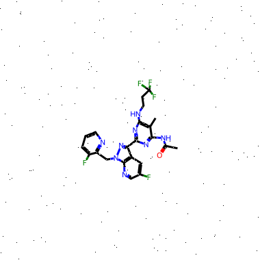 CC(=O)Nc1nc(-c2nn(Cc3ncccc3F)c3ncc(F)cc23)nc(NCCC(F)(F)F)c1C